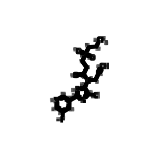 C#CCN(C(=O)CCS(=O)(=O)CCC(F)(F)F)c1sc(-c2cncc(F)c2)nc1Cl